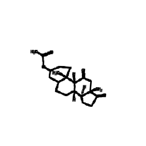 CC(=O)OC1CC[C@@]2(C)C(CC[C@@H]3[C@H]2C(=O)C[C@]2(C)C(=O)CC[C@@H]32)C1